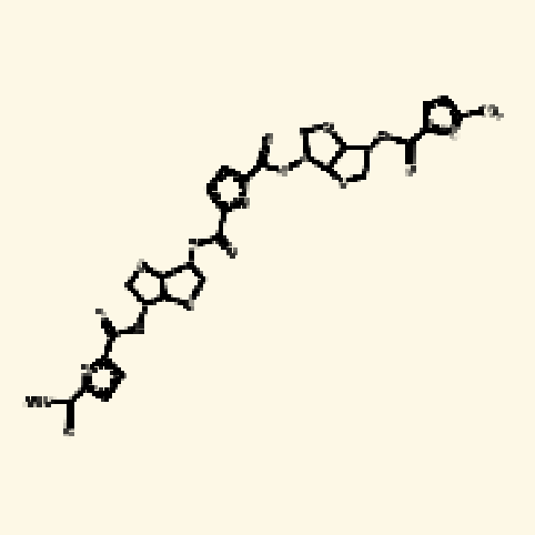 COC(=O)c1ccc(C(=O)O[C@H]2COC3C2OC[C@@H]3OC(=O)c2ccc(C(=O)O[C@H]3COC4C3OC[C@@H]4OC(=O)c3ccc(C(=O)O)o3)o2)o1